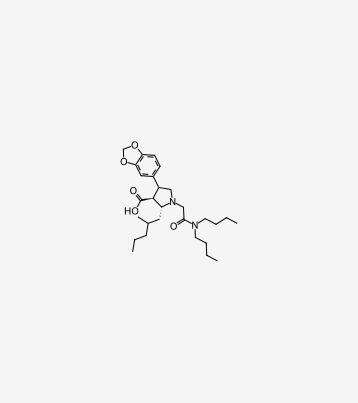 CCCCN(CCCC)C(=O)CN1CC(c2ccc3c(c2)OCO3)[C@H](C(=O)O)[C@H]1CC(C)CCC